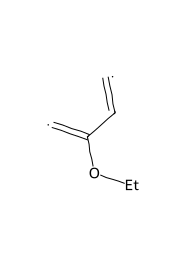 [CH]=CC(=[CH])OCC